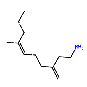 C=C(CCN)CC/C=C(/C)CCC